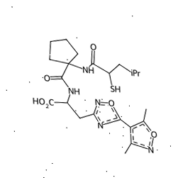 Cc1noc(C)c1-c1nc(CC(NC(=O)C2(NC(=O)C(S)CC(C)C)CCCC2)C(=O)O)no1